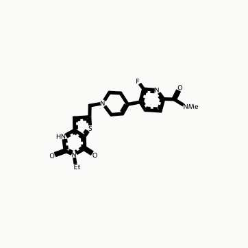 CCn1c(=O)[nH]c2cc(CN3CC=C(c4ccc(C(=O)NC)nc4F)CC3)sc2c1=O